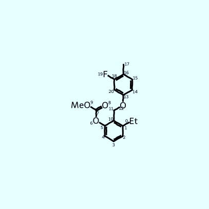 CCc1cccc(OC(=O)OC)c1COc1ccc(C)c(F)c1